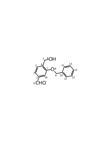 O=Cc1ccc(CO)c(OCc2ccccc2)c1